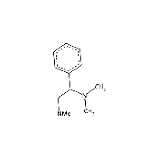 CNCC(c1ccccc1)N(C)C